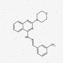 Cc1cccc(C=NNc2nc(N3CCOCC3)nc3ccccc23)c1